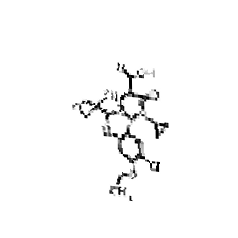 CCOc1cc2c(cc1Cl)-c1c(cc(C(=O)O)c(=O)n1C1CC1)C(C1(C)COC1)O2